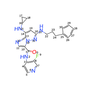 O=C(Nc1ccncc1F)c1cnc2c(NC3CC3)cc(NCCCc3ccccc3)nn12